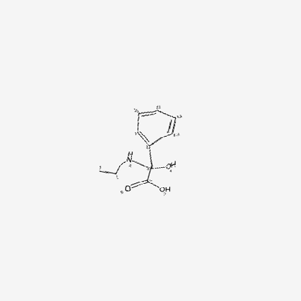 CCNC(O)(C(=O)O)c1ccccc1